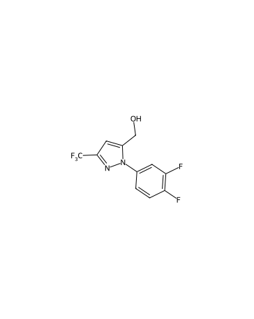 OCc1cc(C(F)(F)F)nn1-c1ccc(F)c(F)c1